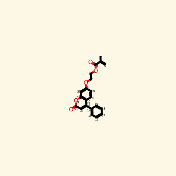 C=C(C)C(=O)OCCOc1ccc2c(-c3ccccc3)cc(=O)oc2c1